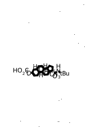 CC(C)(C)NC(=O)[C@H]1CC[C@H]2[C@@H]3CC[C@H]4CC(OC(=O)O)=CC[C@]4(C)[C@H]3CC[C@]12C